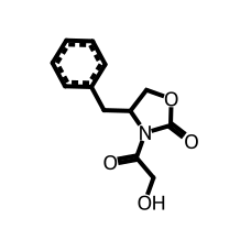 O=C(CO)N1C(=O)OCC1Cc1ccccc1